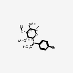 CCO[C@@H]1[C@@H](OC)[C@H](C)O[C@H](N(C(=O)O)c2ccc(Br)cc2)[C@@H]1OC